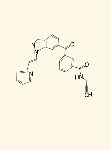 C#CCNC(=O)c1cccc(C(=O)c2ccc3cnn(C=Cc4ccccn4)c3c2)c1